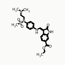 CCOC(=O)c1ccc2c(c1)NC(=O)/C2=C/Nc1ccc(N(CCN(C)C)S(C)(=O)=O)cc1